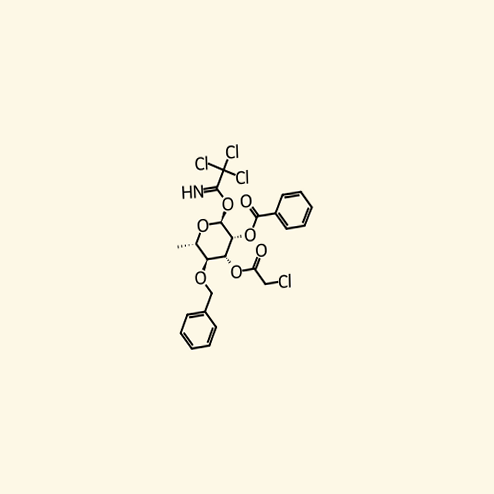 C[C@@H]1O[C@@H](OC(=N)C(Cl)(Cl)Cl)[C@H](OC(=O)c2ccccc2)[C@H](OC(=O)CCl)[C@H]1OCc1ccccc1